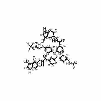 CC(=O)NCc1ccc(Cc2cc(C(=O)NCc3ccc4[nH]cc(Cl)c4c3F)ccn2)cc1.CC(C)(C)OC(=O)NCc1ccc(Cc2cncc(C(=O)NCc3cc4c(Cl)c[nH]c4cc3F)c2)cn1